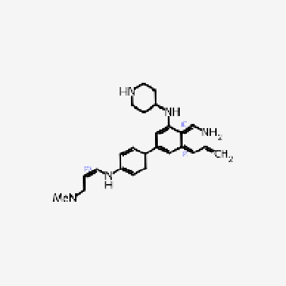 C=C/C=c1/cc(C2C=CC(N/C=C\CNC)=CC2)cc(NC2CCNCC2)/c1=C/N